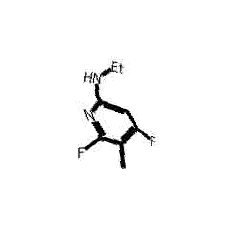 CCNc1cc(F)c(C)c(F)n1